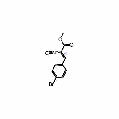 [C-]#[N+]/C(=C\c1ccc(Br)cc1)C(=O)OC